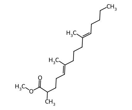 CCCC/C=C(\C)CCC/C(C)=C/CCC(C)C(=O)OC